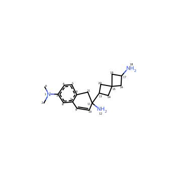 CN(C)c1ccc2c(c1)C=CC(N)(C1CC3(CC(N)C3)C1)C2